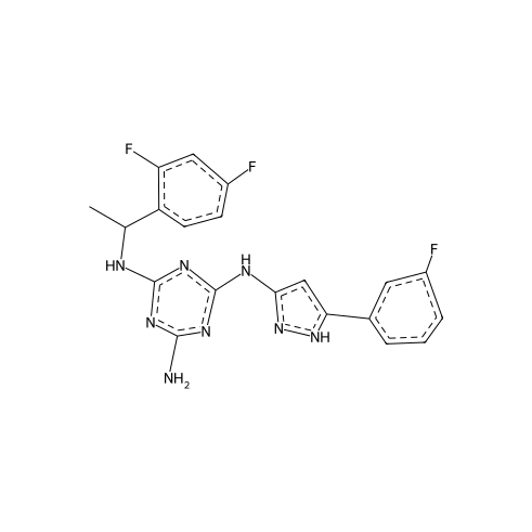 CC(Nc1nc(N)nc(Nc2cc(-c3cccc(F)c3)[nH]n2)n1)c1ccc(F)cc1F